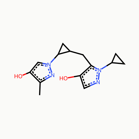 Cc1nn(C2CC2Cc2c(O)cnn2C2CC2)cc1O